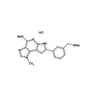 CNCc1cccc(-c2cc3c(nc(NC)c4ncn(C)c43)[nH]2)c1.Cl